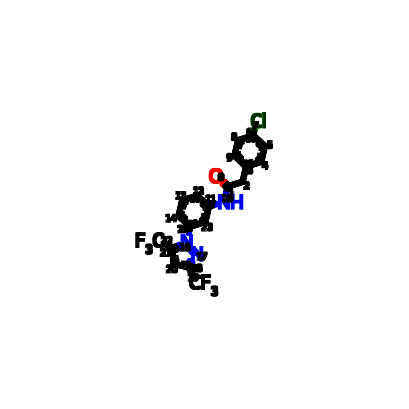 O=C(Cc1ccc(Cl)cc1)Nc1cccc(-n2nc(C(F)(F)F)cc2C(F)(F)F)c1